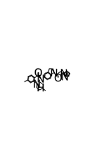 Cc1ccc(C(=O)Nc2ccc3c(c2)CCN3C(=O)Cn2cccn2)c(N2CCC(C)CC2)c1